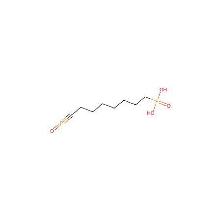 O=P#CCCCCCCCP(=O)(O)O